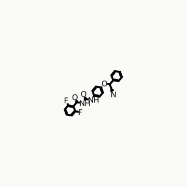 N#CC(Oc1ccc(NC(=O)NC(=O)c2c(F)cccc2F)cc1)c1ccccc1